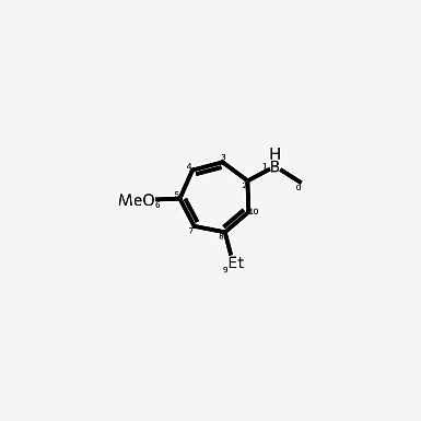 CBC1C=CC(OC)=CC(CC)=C1